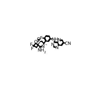 C[C@@]1(c2cc(Nc3ncnc4cc(C#N)cnc34)ccc2F)CS(=O)(=O)C2(CC(F)(F)C2)C(N)=N1